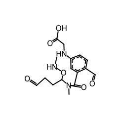 CNOC(CCC=O)N(C)C(=O)c1cc(NCC(=O)O)ccc1C=O